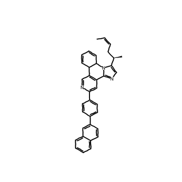 C/C=C\C[C@@H](C)c1cnc2n1C1C=CC=CC1c1cnc(-c3ccc(-c4ccc5ccccc5c4)cc3)cc1-2